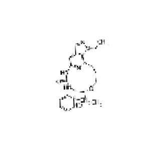 CCn1ncc2cc3nc(c21)CCCO[C@H]([C@H](C)O)[C@H](C1(C)C=CC=CC1)NC(=O)N3